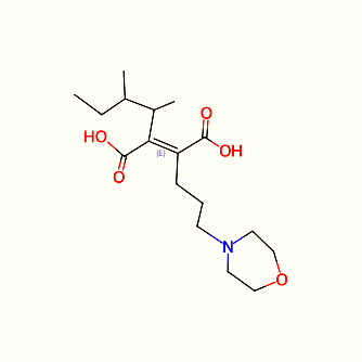 CCC(C)C(C)/C(C(=O)O)=C(/CCCN1CCOCC1)C(=O)O